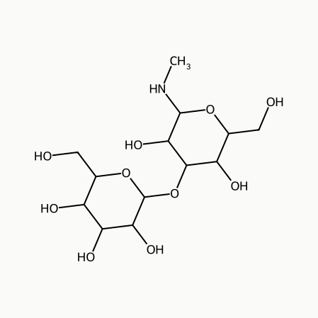 CNC1OC(CO)C(O)C(OC2OC(CO)C(O)C(O)C2O)C1O